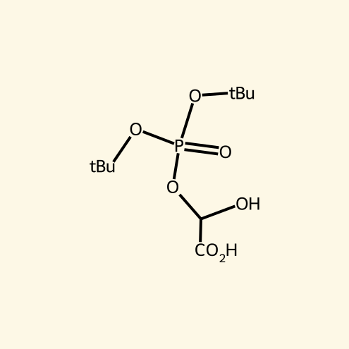 CC(C)(C)OP(=O)(OC(O)C(=O)O)OC(C)(C)C